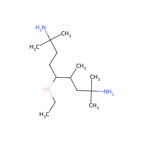 CCBC(CCC(C)(C)N)C(C)CC(C)(C)N